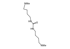 CNCCCCNC(=S)NCCCCNC